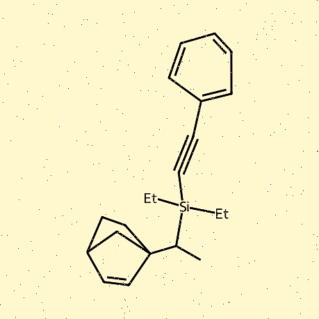 CC[Si](C#Cc1ccccc1)(CC)C(C)C12C=CC(CC1)C2